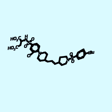 CC(C)(C)c1ccc(S(=O)(=O)N2CCC(CCCC3CCN(c4ccc(S(=O)(=O)NC(CC(=O)O)C(=O)O)cc4Cl)CC3)CC2)cc1